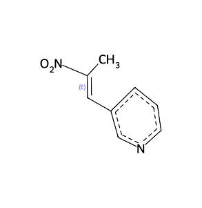 C/C(=C\c1cccnc1)[N+](=O)[O-]